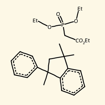 CC1(C)CC(C)(c2ccccc2)c2ccccc21.CCOC(=O)CP(=O)(OCC)OCC